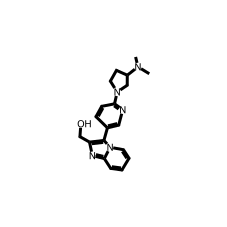 CN(C)C1CCN(c2ccc(-c3c(CO)nc4ccccn34)cn2)C1